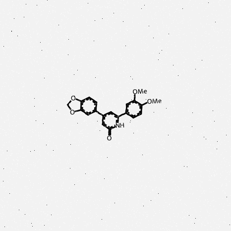 COc1ccc(-c2cc(-c3ccc4c(c3)OCO4)cc(=O)[nH]2)cc1OC